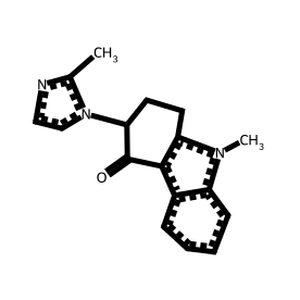 Cc1nccn1C1CCc2c(c3ccccc3n2C)C1=O